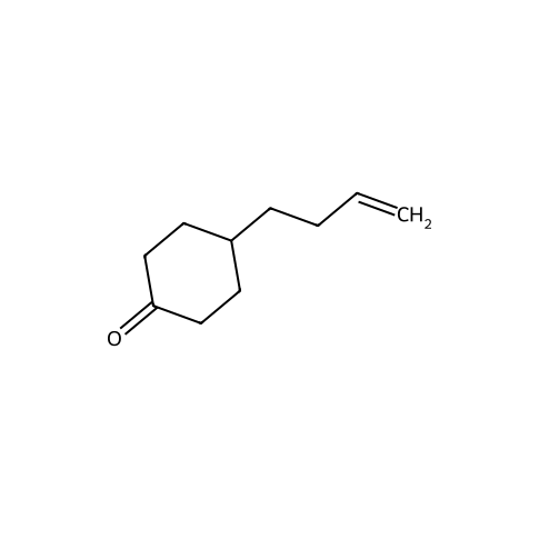 C=CCCC1CCC(=O)CC1